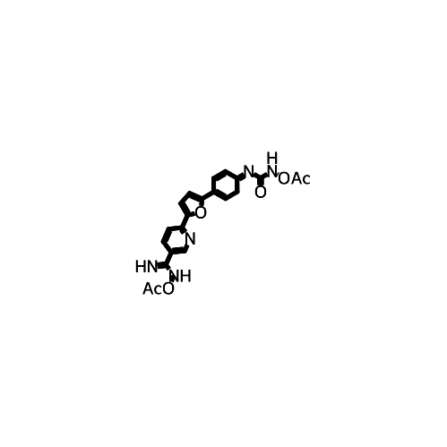 CC(=O)ONC(=N)c1ccc(-c2ccc(C3=CCC(=NC(=O)NOC(C)=O)C=C3)o2)nc1